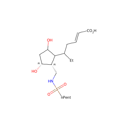 CCCCCS(=O)(=O)NC[C@H]1C(C(CC)CC=CC(=O)O)C(O)C[C@H]1O